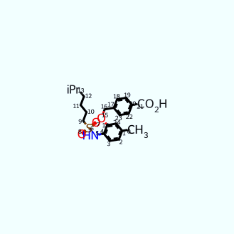 Cc1ccc(NS(=O)(=O)CCCCC(C)C)c(OCc2ccc(C(=O)O)cc2)c1